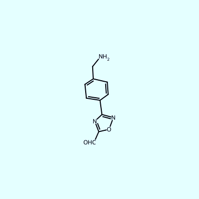 NCc1ccc(-c2noc(C=O)n2)cc1